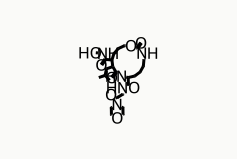 CC(C)CC1C(=O)NC(C(=O)NCC(=O)N2CCOCC2)CCCCNC(=O)OCCCC1C(=O)NO